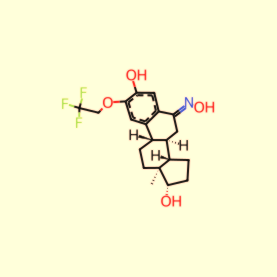 C[C@]12CC[C@@H]3c4cc(OCC(F)(F)F)c(O)cc4C(=NO)C[C@H]3[C@@H]1CC[C@@H]2O